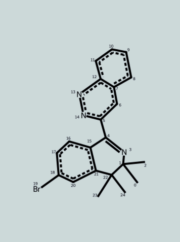 CC1(C)N=C(c2cc3ccccc3nn2)c2ccc(Br)cc2C1(C)C